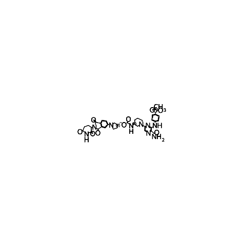 CS(=O)(=O)c1ccc(Nc2nc(N3CCC[C@@H](NC(=O)OC[C@@H]4CCN(c5ccc6c(c5)C(=O)N(C5CCC(=O)NC5=O)C6=O)C4)C3)cnc2C(N)=O)cc1